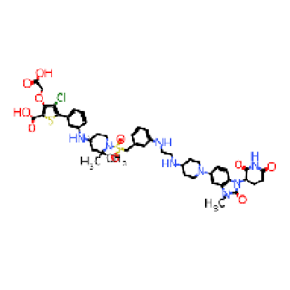 Cn1c(=O)n(C2CCC(=O)NC2=O)c2ccc(N3CCC(NCCNc4cccc(CS(=O)(=O)N5CC[C@H](Nc6cccc(-c7sc(C(=O)O)c(OCC(=O)O)c7Cl)c6)CC5(C)C)c4)CC3)cc21